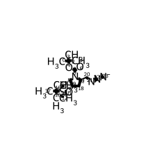 CC(C)(C)OC(=O)N1C[C@@H](O[Si](C)(C)C(C)(C)C)C[C@@H]1CN=[N+]=[N-]